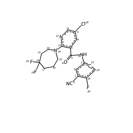 N#Cc1cc(NC(=O)c2cc(Cl)cnc2N2CCCC(F)(F)CC2)ccc1F